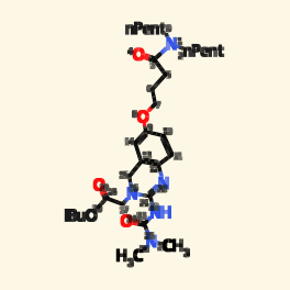 CCCCCN(CCCCC)C(=O)CCCOc1ccc2c(c1)CN(CC(=O)OCC(C)C)C(NC(=O)N(C)C)=N2